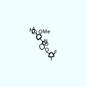 COc1cc(-c2noc3c2CCCC3OCc2cc(C)cc(F)c2)ccc1-n1cnc(C)c1